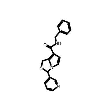 O=C(NCc1ccccc1)c1ccn2c1CSC2c1cccnc1